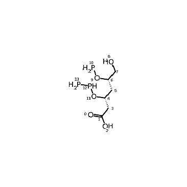 O=C(O)C[C@@H](C[C@@H](CO)OP)OPP